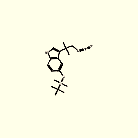 CC(C)(CN=[N+]=[N-])c1c[nH]c2ccc(O[Si](C)(C)C(C)(C)C)cc12